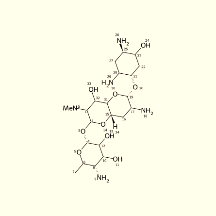 CNC1C(O[C@H]2OC(C)[C@@H](N)C(O)C2O)O[C@H]2CC(N)[C@@H](O[C@H]3CC(O)[C@H](N)CC3N)OC2C1O